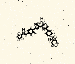 Nc1ncc(-c2ccc(S(=O)(=O)C3CCOCC3)cc2)nc1-c1cc(-c2ccc(CNC3CCCO3)cc2F)no1